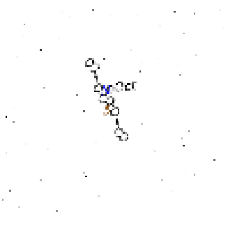 CCCCCCCCn1c2cc(C#Cc3ccc4ccccc4c3)ccc2c2ccc3c(ccc4c5ccc(C#Cc6ccc7ccccc7c6)cc5sc43)c21